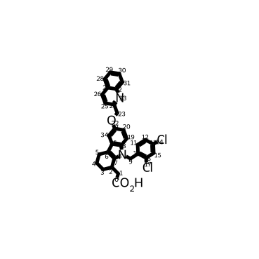 O=C(O)CC1CCCc2c1n(Cc1ccc(Cl)cc1Cl)c1ccc(OCc3ccc4ccccc4n3)cc21